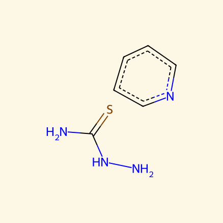 NNC(N)=S.c1ccncc1